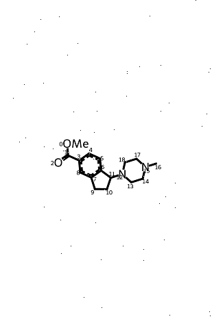 COC(=O)c1ccc2c(c1)CCC2N1CCN(C)CC1